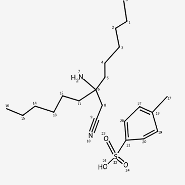 CCCCCCC(N)(CC#N)CCCCCC.Cc1ccc(S(=O)(=O)O)cc1